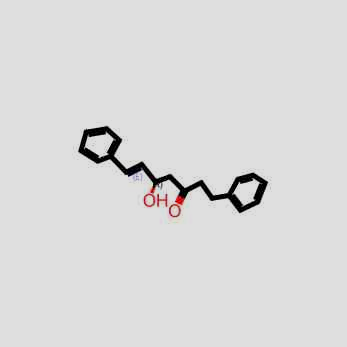 O=C(CCc1ccccc1)C[C@@H](O)/C=C/c1ccccc1